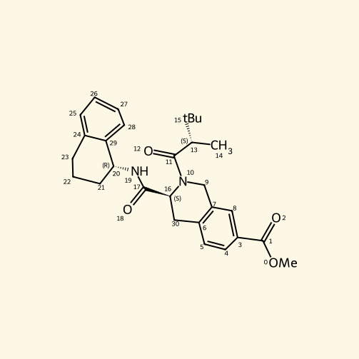 COC(=O)c1ccc2c(c1)CN(C(=O)[C@@H](C)C(C)(C)C)[C@H](C(=O)N[C@@H]1CCCc3ccccc31)C2